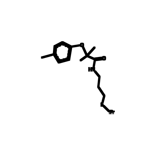 Cc1ccc(OC(C)(C)C(=O)NCCCSC(C)C)cc1